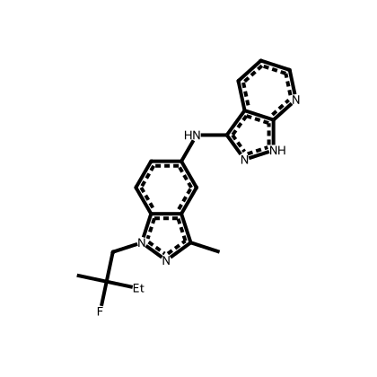 CCC(C)(F)Cn1nc(C)c2cc(Nc3n[nH]c4ncccc34)ccc21